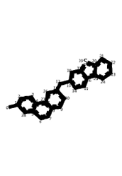 Cc1ccc2c(ccc3ccc(Cc4ccc5c(c4)sc4ccccc45)cc32)c1